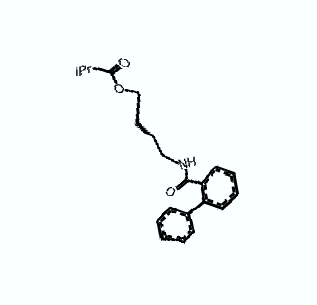 CC(C)C(=O)OCCCCNC(=O)c1ccccc1-c1ccccc1